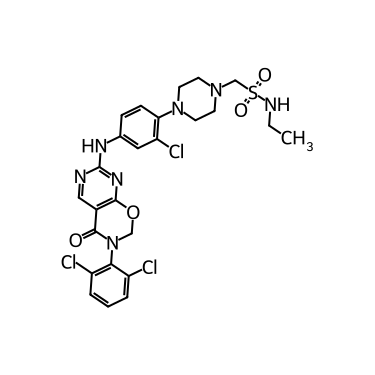 CCNS(=O)(=O)CN1CCN(c2ccc(Nc3ncc4c(n3)OCN(c3c(Cl)cccc3Cl)C4=O)cc2Cl)CC1